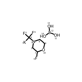 FC1CN([C](F)(F)[K])CCO1.OB(O)O